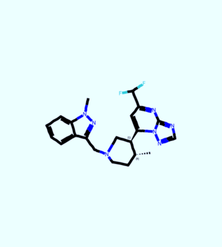 C[C@@H]1CCN(Cc2nn(C)c3ccccc23)C[C@H]1c1cc(C(F)F)nc2ncnn12